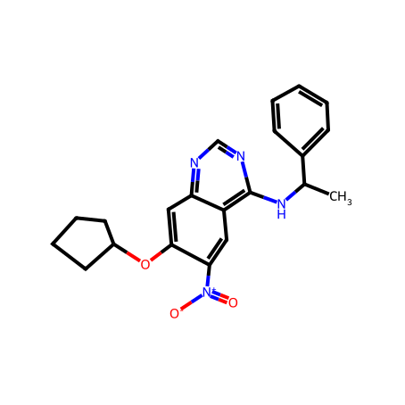 CC(Nc1ncnc2cc(OC3CCCC3)c([N+](=O)[O-])cc12)c1ccccc1